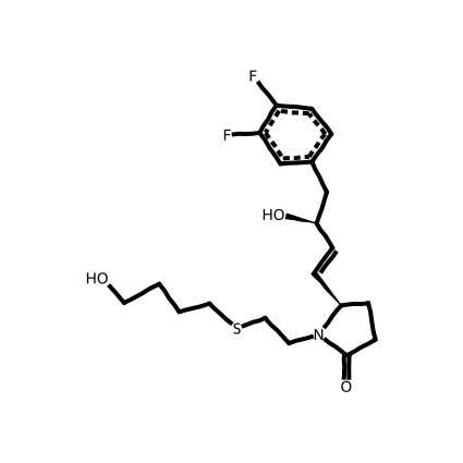 O=C1CC[C@H](/C=C/[C@@H](O)Cc2ccc(F)c(F)c2)N1CCSCCCCO